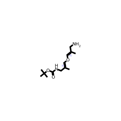 C/C(=C\O/C=C(\C)CNC(=O)OC(C)(C)C)CN